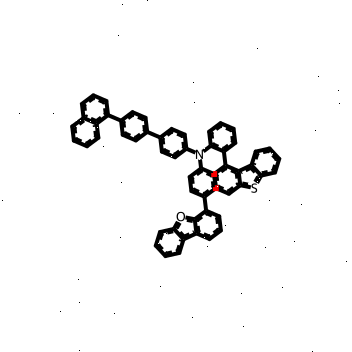 c1ccc(N(c2ccc(-c3ccc(-c4cccc5ccccc45)cc3)cc2)c2ccc(-c3cccc4c3oc3ccccc34)cc2)c(-c2cccc3sc4ccccc4c23)c1